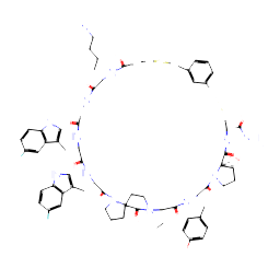 CC(C)C[C@H]1C(=O)N[C@@H](Cc2ccc(O)cc2)C(=O)N2CCC[C@@]2(C)C(=O)N[C@H](C(N)=O)CSCc2cccc(c2)CSCCC(=O)N[C@@H](CCCCN)C(=O)NCC(=O)N[C@@H](Cc2c[nH]c3ccc(F)cc23)C(=O)N[C@@H](Cc2c[nH]c3ccc(F)cc23)C(=O)N2CCCC23CCN1C3=O